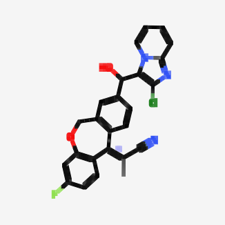 C/C(C#N)=C1/c2ccc(C(O)c3c(Cl)nc4ccccn34)cc2COc2cc(F)ccc21